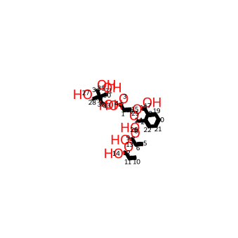 C=CC(=O)O.C=CC(=O)O.C=CC(=O)O.O=C(O)c1ccccc1C(=O)O.OCC(CO)(CO)CO